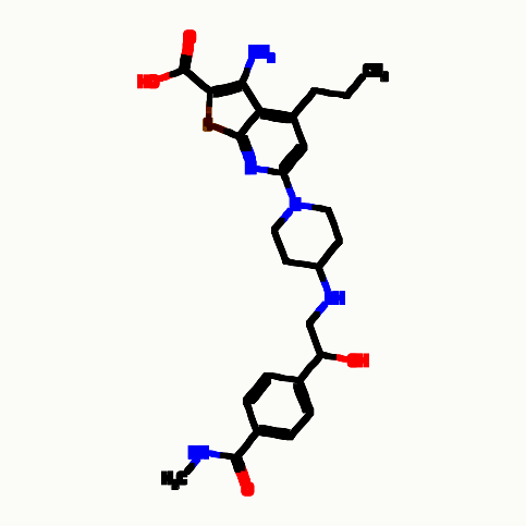 CCCc1cc(N2CCC(NCC(O)c3ccc(C(=O)NC)cc3)CC2)nc2sc(C(=O)O)c(N)c12